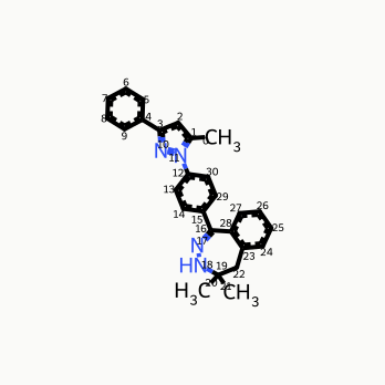 Cc1cc(-c2ccccc2)nn1-c1ccc(C2=NNC(C)(C)Cc3ccccc32)cc1